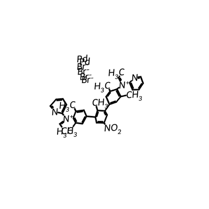 CC=[N+](c1ccccn1)c1c(C)cc(-c2cc([N+](=O)[O-])cc(-c3cc(C)c([N+](=CC)c4ccccn4)c(C)c3)c2C)cc1C.[Br-].[Br-].[Br-].[Br-].[Pd].[Pd]